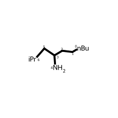 CCCCCCC(N)CC(C)C